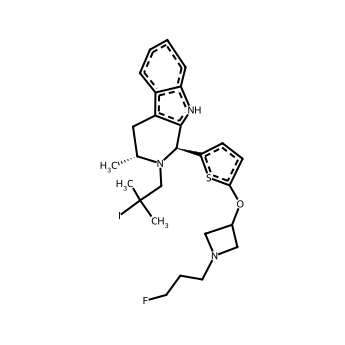 C[C@@H]1Cc2c([nH]c3ccccc23)[C@@H](c2ccc(OC3CN(CCCF)C3)s2)N1CC(C)(C)I